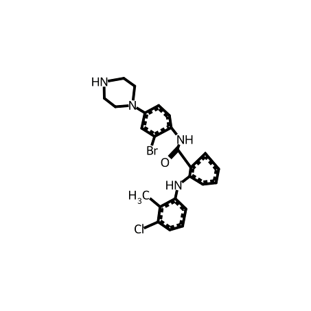 Cc1c(Cl)cccc1Nc1ccccc1C(=O)Nc1ccc(N2CCNCC2)cc1Br